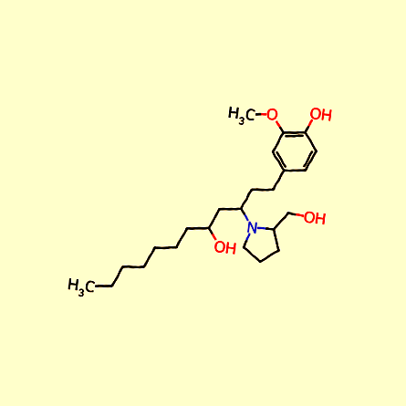 CCCCCCCC(O)CC(CCc1ccc(O)c(OC)c1)N1CCCC1CO